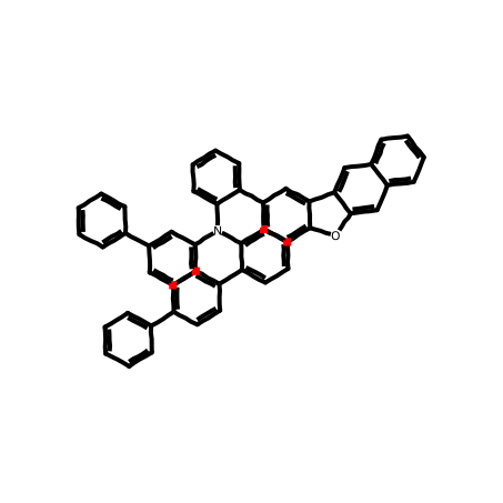 c1ccc(-c2ccc(-c3ccccc3N(c3cccc(-c4ccccc4)c3)c3ccccc3-c3ccc4oc5cc6ccccc6cc5c4c3)cc2)cc1